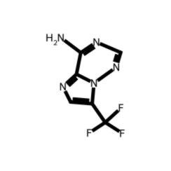 Nc1ncnn2c(C(F)(F)F)cnc12